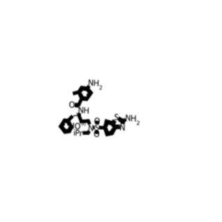 Cc1cc(N)ccc1C(=O)N[C@@H](Cc1ccccc1)[C@H](O)CN(CC(C)C)S(=O)(=O)c1ccc2nc(N)sc2c1